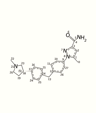 Cc1cc(C(N)=O)nn1-c1ccc(Cc2ccc([C@@H]3CCN(C)C3)cc2)cc1